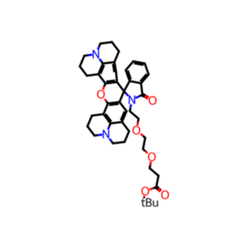 CC(C)(C)OC(=O)CCOCCOCCN1C(=O)c2ccccc2C12c1cc3c4c(c1Oc1c2cc2c5c1CCCN5CCC2)CCCN4CCC3